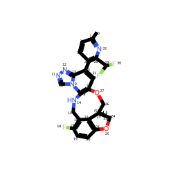 Cc1ccc(-c2cc3c(n4cnnc24)NCc2c(F)ccc4c2[C@@H](CO4)CO3)c(C(F)F)n1